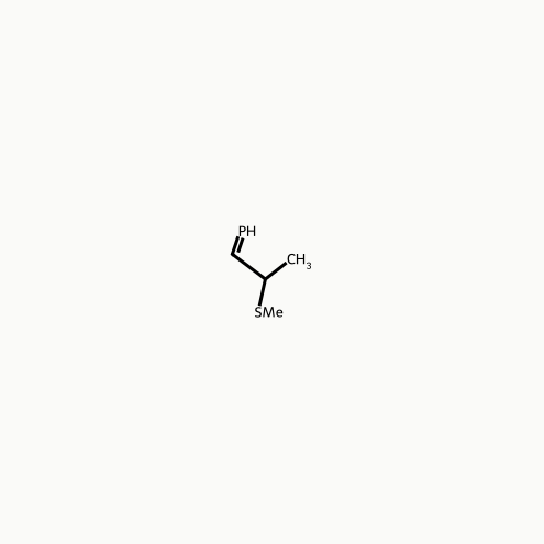 CSC(C)C=P